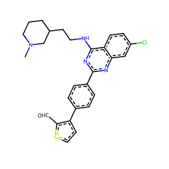 CN1CCCC(CCNc2nc(-c3ccc(-c4ccsc4C=O)cc3)nc3cc(Cl)ccc23)C1